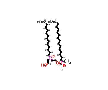 CCCCCCCCCCCCCCCCCCCCCCCCP(C)(C)=O.CCCCCCCCCCCCCCCCCCCCCCP(=O)(CCO)CCO